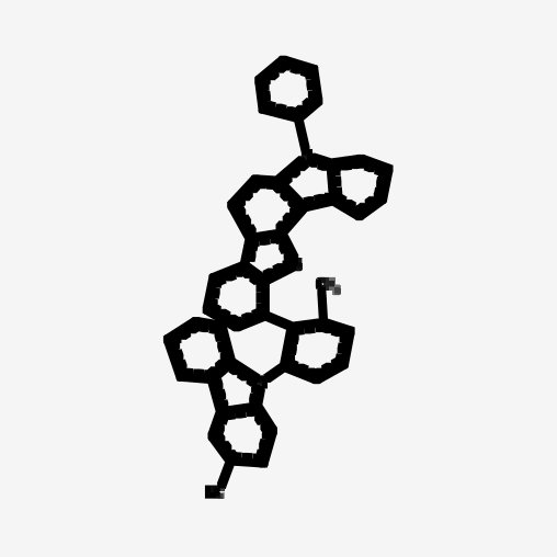 Cc1cccc(-n2c3ccccc3c3cc(C#N)ccc32)c1-c1cccc2c1sc1c2ccc2c1c1ccccc1n2-c1ccccc1